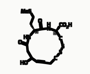 CSCC[C@H]1NC(=O)CC(O)C=CCCSSC[C@H](C(=O)O)NC1=O